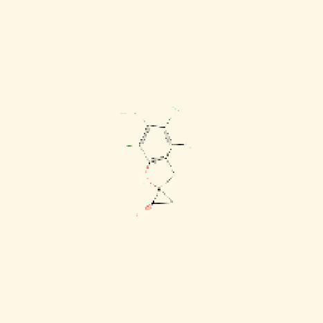 Cc1c(F)c2c(c(C)c1Br)CC1(CC1=O)O2